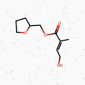 CC(=CCO)C(=O)OCC1CCCO1